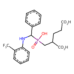 O=C(O)CCC(CP(=O)(O)C(Nc1ccccc1C(F)(F)F)c1ccccc1)C(=O)O